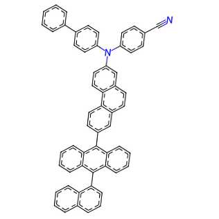 N#Cc1ccc(N(c2ccc(-c3ccccc3)cc2)c2ccc3c(ccc4cc(-c5c6ccccc6c(-c6cccc7ccccc67)c6ccccc56)ccc43)c2)cc1